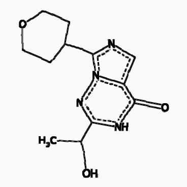 CC(O)c1nn2c(C3CCOCC3)ncc2c(=O)[nH]1